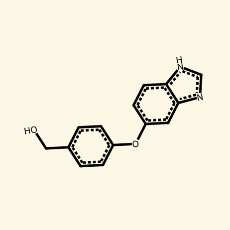 OCc1ccc(Oc2ccc3[nH]cnc3c2)cc1